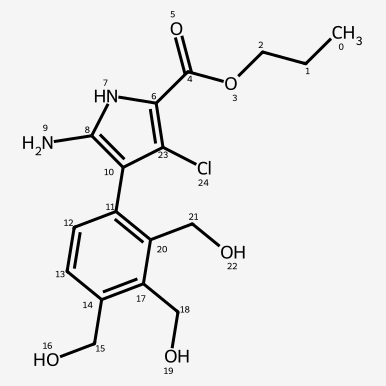 CCCOC(=O)c1[nH]c(N)c(-c2ccc(CO)c(CO)c2CO)c1Cl